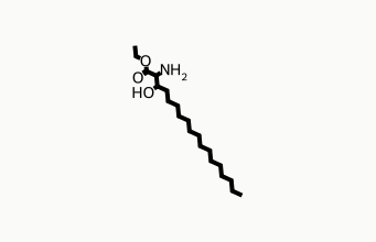 CCCCCCCCCCCCCCCC(O)C(N)C(=O)OCC